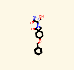 NC(=O)[C@H](CO)N1CC2(CCC(OCc3ccccc3)CC2)C1=O